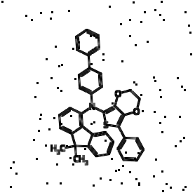 CC1(C)c2ccccc2-c2c(N(c3ccc(-c4ccccc4)cc3)c3sc(-c4ccccc4)c4c3OCCO4)cccc21